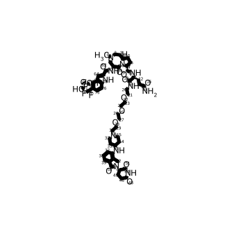 CN1CC[C@H]2CC[C@@H](C(=O)N[C@@H](CCC(N)=O)C(=O)NCCOCCOCCOCCN3CCC(Nc4cccc5c4CN(C4CCC(=O)NC4=O)C5=O)CC3)N2C(=O)[C@@H](NC(=O)c2cc3cc(C(F)(F)P(=O)(O)O)ccc3[nH]2)C1